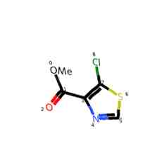 COC(=O)c1n[c]sc1Cl